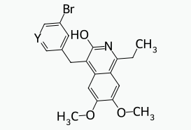 CCc1nc(O)c(CC2=CC(Br)=[CH][Y]=[CH]2)c2cc(OC)c(OC)cc12